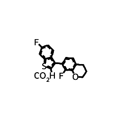 O=C(O)c1sc2cc(F)ccc2c1-c1ccc2c(c1F)OCCC2